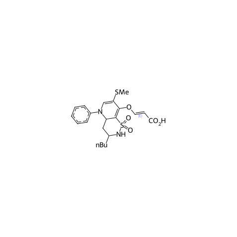 CCCCC1CC2C(=C(O/C=C/C(=O)O)C(SC)=CN2c2ccccc2)S(=O)(=O)N1